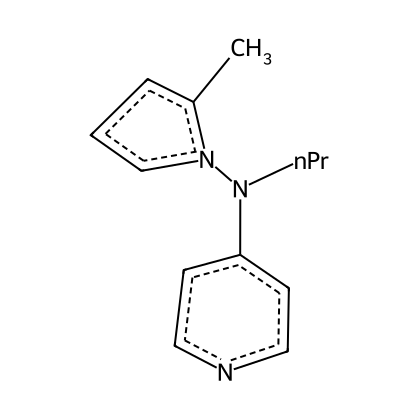 CCCN(c1ccncc1)n1cccc1C